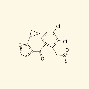 CC[S+]([O-])Cc1c(C(=O)c2cnoc2C2CC2)ccc(Cl)c1Cl